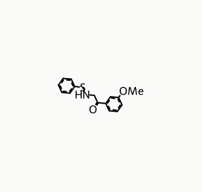 COc1cccc(C(=O)CNSc2ccccc2)c1